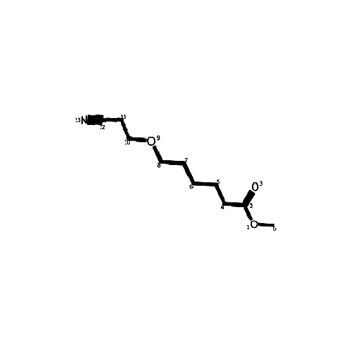 COC(=O)CCCCCOCCC#N